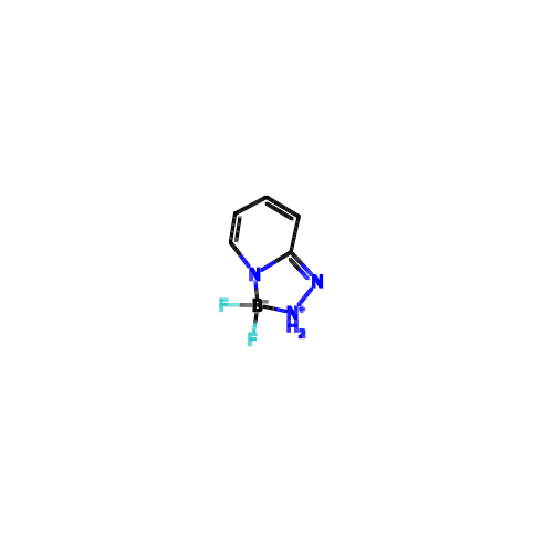 F[B-]1(F)[NH2+]N=C2C=CC=CN21